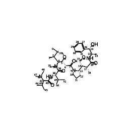 CC[C@H](C)[C@@H]([C@@H](CC(=O)N1CCC[C@H]1[C@H](C=O)[C@@H](C)C(=O)N[C@H](C)[C@@H](O)c1ccccc1)OC)N(C)C(=O)[C@@H](NC(=O)C(C(C)C)N(C)C)C(C)C